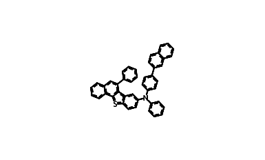 c1ccc(-c2cc3ccccc3c3sc4ccc(N(c5ccccc5)c5ccc(-c6ccc7ccccc7c6)cc5)cc4c23)cc1